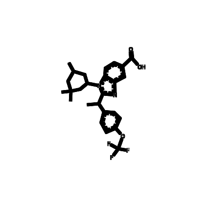 CC1CC(n2c(C(C)c3ccc(OC(F)(F)F)cc3)nc3cc(C(=O)O)ccc32)CC(C)(C)C1